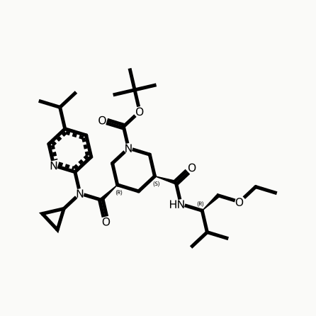 CCOC[C@H](NC(=O)[C@H]1C[C@@H](C(=O)N(c2ccc(C(C)C)cn2)C2CC2)CN(C(=O)OC(C)(C)C)C1)C(C)C